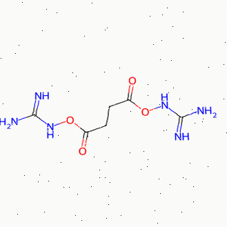 N=C(N)NOC(=O)CCC(=O)ONC(=N)N